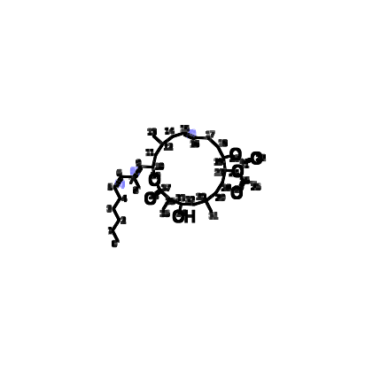 CCCCC/C=C\C(C)=C\C1CC(C)C/C=C/CCC(OC=O)C(OC(C)=O)CCC(C)CC(O)C(C)C(=O)O1